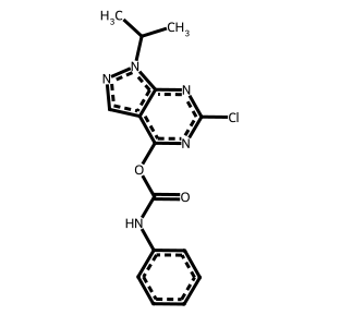 CC(C)n1ncc2c(OC(=O)Nc3ccccc3)nc(Cl)nc21